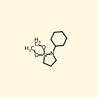 CO[Si]1(OC)CCCN1C1CCCCC1